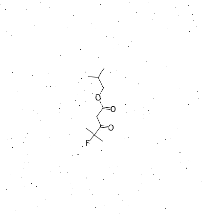 CC(C)COC(=O)CC(=O)C(C)(C)F